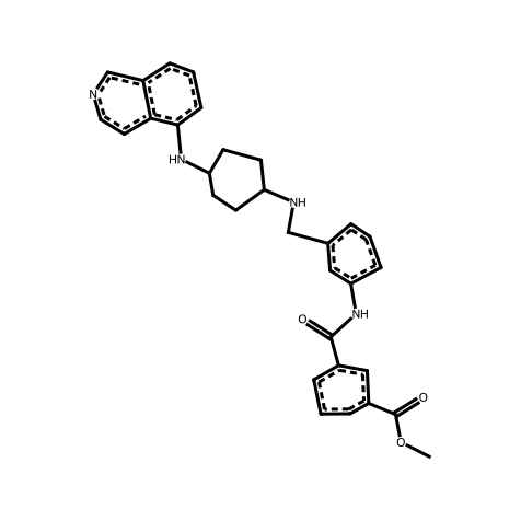 COC(=O)c1cccc(C(=O)Nc2cccc(CNC3CCC(Nc4cccc5cnccc45)CC3)c2)c1